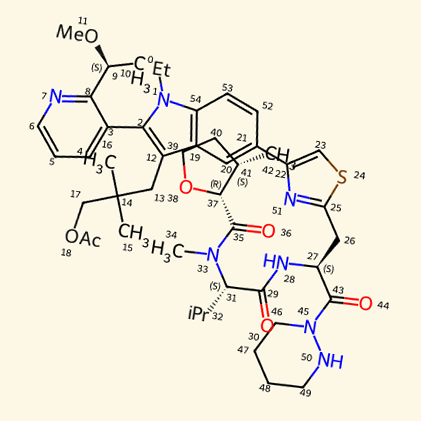 CCn1c(-c2cccnc2[C@H](C)OC)c(CC(C)(C)COC(C)=O)c2cc(-c3csc(C[C@H](NC(=O)[C@H](C(C)C)N(C)C(=O)[C@@H]4OCC[C@@H]4C)C(=O)N4CCCCN4)n3)ccc21